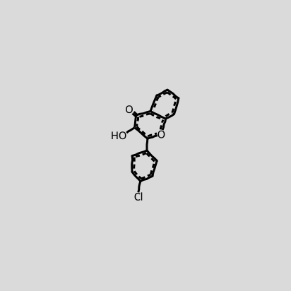 O=c1c(O)c(-c2ccc(Cl)cc2)oc2ccccc12